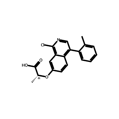 Cc1ccccc1-c1cnc(Cl)c2cc(O[C@H](C)C(=O)O)ccc12